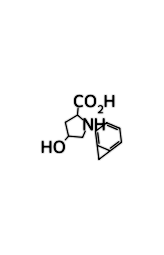 O=C(O)C1CC(O)CN1.c1ccc2c(c1)C2